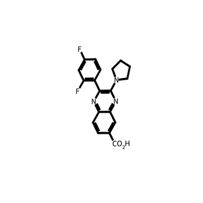 O=C(O)c1ccc2nc(-c3ccc(F)cc3F)c(N3CCCC3)nc2c1